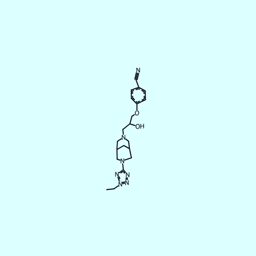 CCn1nnc(N2CC3CC(CN(CC(O)COc4ccc(C#N)cc4)C3)C2)n1